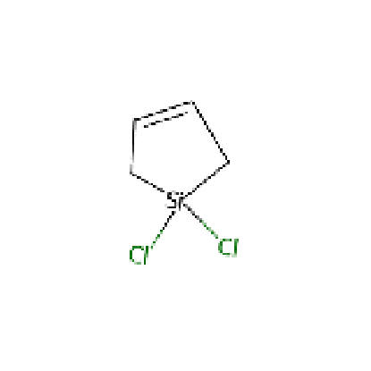 Cl[Si]1(Cl)CC=CC1